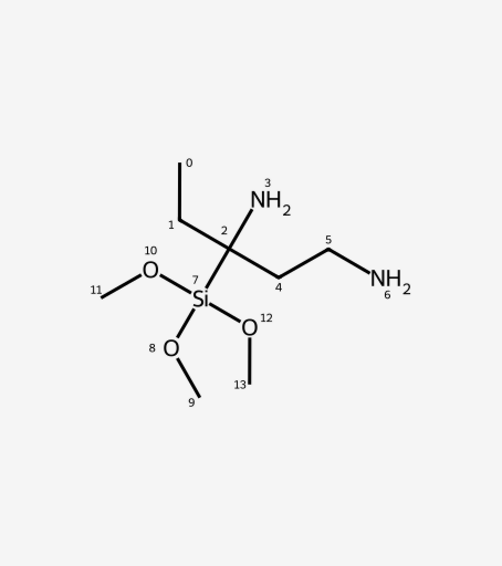 CCC(N)(CCN)[Si](OC)(OC)OC